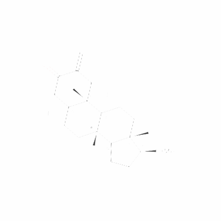 C=C1C[C@@]2(C)[C@@H](CC[C@@H]3[C@@H]2CC[C@]2(C)[C@@H](OC)CC[C@@H]32)CC1=O